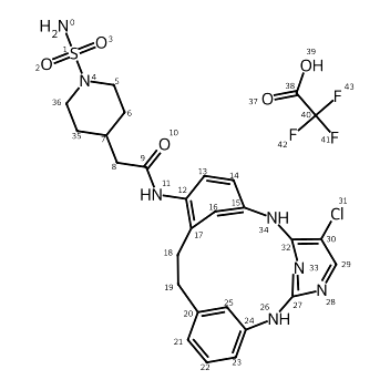 NS(=O)(=O)N1CCC(CC(=O)Nc2ccc3cc2CCc2cccc(c2)Nc2ncc(Cl)c(n2)N3)CC1.O=C(O)C(F)(F)F